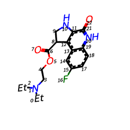 CCN(CC)CCOC(=O)C1CNc2c1c1cc(F)ccc1[nH]c2=O